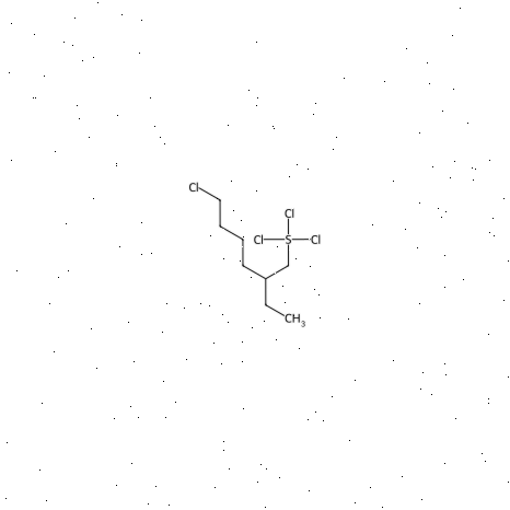 CCC(CCCCCl)CS(Cl)(Cl)Cl